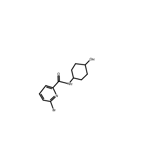 O=C(NC1CCC(O)CC1)c1cccc(Br)n1